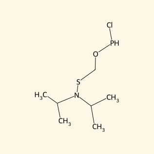 CC(C)N(SCOPCl)C(C)C